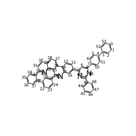 c1ccc(-c2ccc(-c3cc(-c4ccc5c(c4)nc(-c4ccccc4)c4c5ccc5ccc(-c6ccccc6)nc54)nc(-c4ccccc4)n3)cc2)cc1